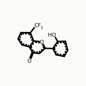 O=c1cc(-c2ccccc2O)oc2c(C(F)(F)F)cccc12